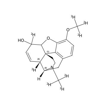 [2H]C([2H])([2H])Oc1ccc2c3c1OC1C([2H])(O)C=C[C@@]4([2H])[C@@H](C2)N(C([2H])([2H])[2H])CC[C@]314